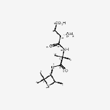 CC1SC(C)(C)C1OC(=O)C(C)(C)NC(=O)[C@@H](N)CC(=O)O